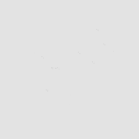 CNC(=O)c1cc(Nc2nc(-c3ccc4c(c3)N([C@H]3C[C@@H](N5CCCCC5)C3)C(=O)C4(C)C)cc3ncn(C(C)C)c23)ccc1C1CC1